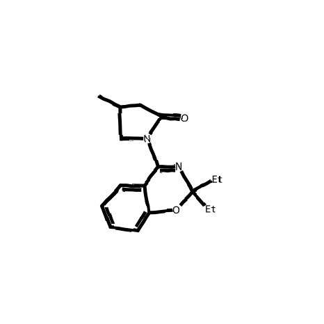 CCC1(CC)N=C(N2CC(C)CC2=O)c2ccccc2O1